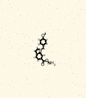 COc1ccc(Cn2ccc3ccc(C(=O)ON)cc32)cc1